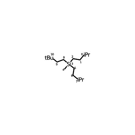 CC(C)CC[Si](C)(CCC(C)C)CCC(C)(C)C